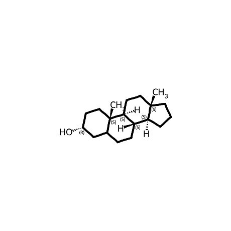 C[C@@]12CCC[C@H]1[C@@H]1CCC3C[C@H](O)CC[C@]3(C)[C@H]1CC2